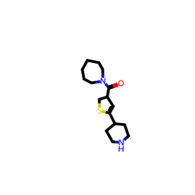 O=C(C1C=C(C2CCNCC2)SC1)N1CCCCCC1